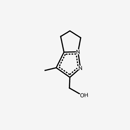 Cc1c(CO)nn2c1CCC2